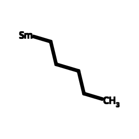 CCCC[CH2][Sm]